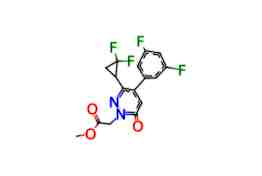 COC(=O)Cn1nc(C2CC2(F)F)c(-c2cc(F)cc(F)c2)cc1=O